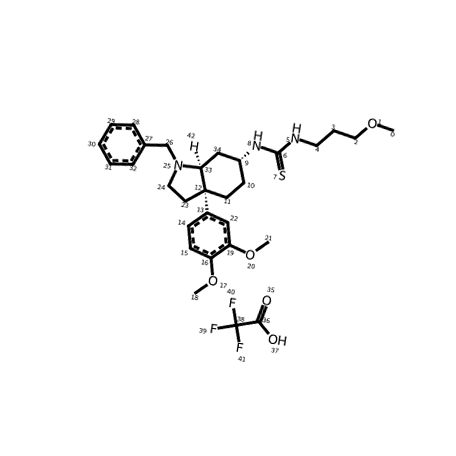 COCCCNC(=S)N[C@@H]1CC[C@@]2(c3ccc(OC)c(OC)c3)CCN(Cc3ccccc3)[C@H]2C1.O=C(O)C(F)(F)F